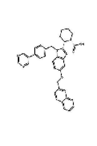 O=C(O)[C@H]1CCCC[C@H]1c1nc2cc(OCc3ccc4ccccc4n3)ccc2n1Cc1ccc(-c2cncnc2)cc1